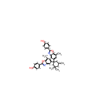 Cc1cc(C2(c3cc(C)c4oc(-c5ccc(O)cc5)nc4c3)CC(C)CC(C)(C)C2)cc2nc(-c3ccc(O)cc3)oc12